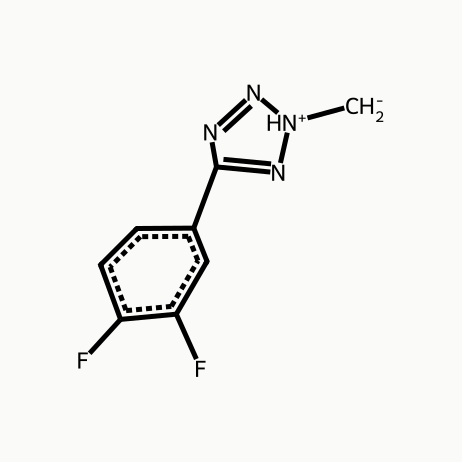 [CH2-][NH+]1N=NC(c2ccc(F)c(F)c2)=N1